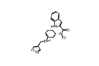 CCN(C(=O)c1cc2ccccc2[nH]1)[C@H]1CCC=C(NCc2cnoc2)C1